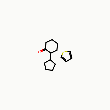 O=C1CCCCC1C1CCCC1.c1ccsc1